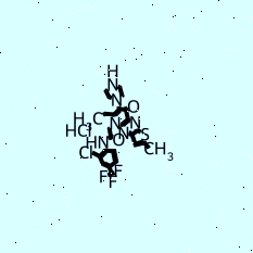 CCc1c(N2CCNCC2)c(=O)c2nc3sc(C)cc3nc2n1CC(=O)Nc1ccc(C(F)(F)F)cc1Cl.Cl